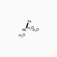 N#[C][Fe].O.O.O